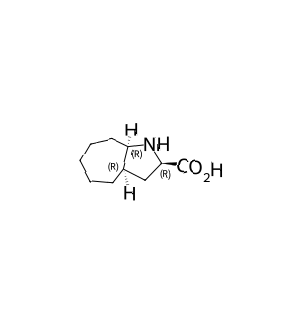 O=C(O)[C@H]1C[C@H]2CCCCC[C@H]2N1